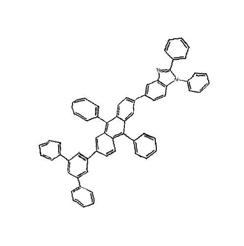 c1ccc(-c2cc(-c3ccccc3)cc(-c3ccc4c(-c5ccccc5)c5cc(-c6ccc7c(c6)nc(-c6ccccc6)n7-c6ccccc6)ccc5c(-c5ccccc5)c4c3)c2)cc1